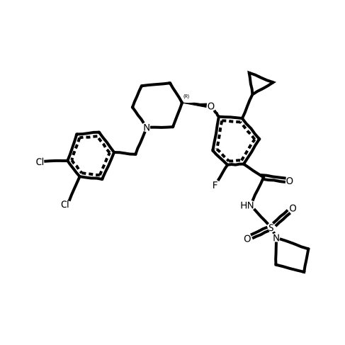 O=C(NS(=O)(=O)N1CCC1)c1cc(C2CC2)c(O[C@@H]2CCCN(Cc3ccc(Cl)c(Cl)c3)C2)cc1F